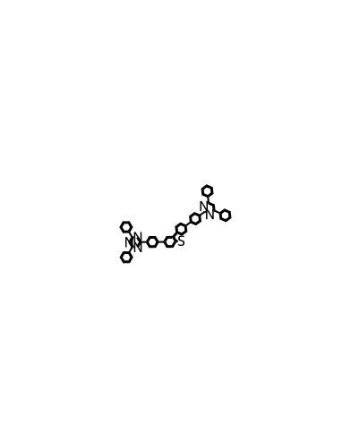 c1ccc(-c2cc(-c3ccccc3)nc(-c3ccc(-c4ccc5c(c4)sc4ccc(-c6ccc(-c7nc(-c8ccccc8)nc(-c8ccccc8)n7)cc6)cc45)cc3)n2)cc1